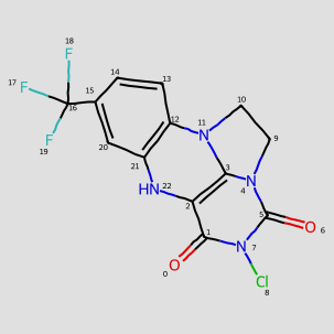 O=c1c2c3n(c(=O)n1Cl)CCN3c1ccc(C(F)(F)F)cc1N2